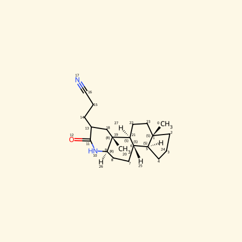 C[C@@]12CCC[C@H]1[C@@H]1CC[C@H]3NC(=O)C(CCC#N)C[C@]3(C)[C@H]1CC2